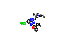 Cc1c(-c2nc(NCCCN(C)C)c3ccccc3n2)oc2ccccc12.Cl.Cl